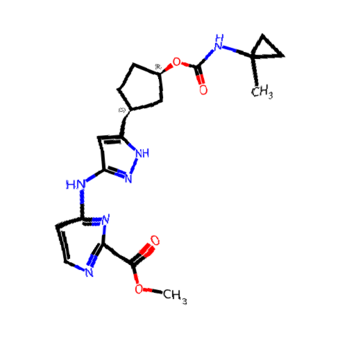 COC(=O)c1nccc(Nc2cc([C@H]3CC[C@@H](OC(=O)NC4(C)CC4)C3)[nH]n2)n1